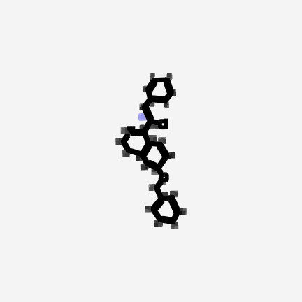 Cl/C(=C\c1ccccc1)C1=NCCc2cc(OCc3ccccc3)ccc21